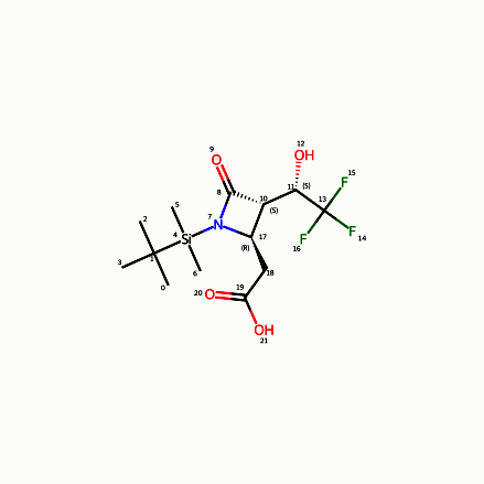 CC(C)(C)[Si](C)(C)N1C(=O)[C@H]([C@H](O)C(F)(F)F)[C@H]1CC(=O)O